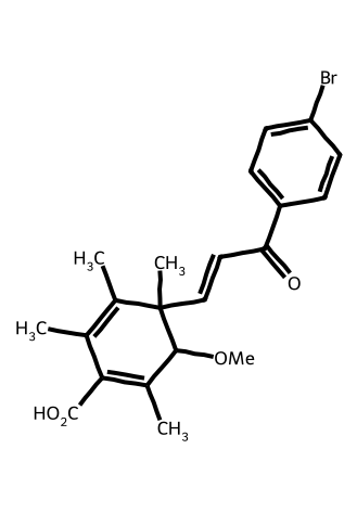 COC1C(C)=C(C(=O)O)C(C)=C(C)C1(C)C=CC(=O)c1ccc(Br)cc1